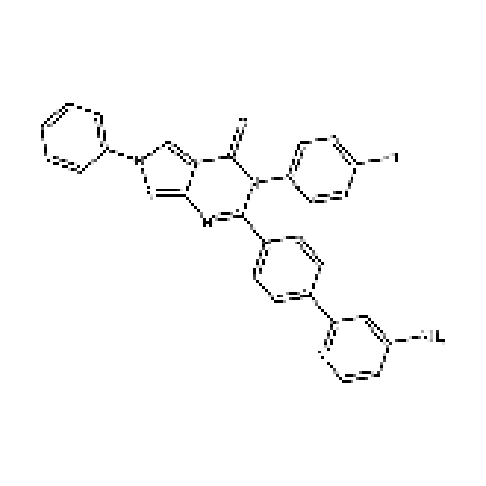 Nc1ccnc(-c2ccc(-c3nc4nn(-c5ccccc5)cc4c(=O)n3-c3ccc(Cl)cc3)cc2)c1